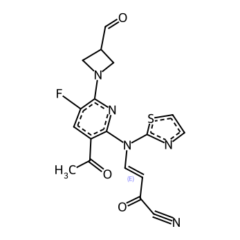 CC(=O)c1cc(F)c(N2CC(C=O)C2)nc1N(/C=C/C(=O)C#N)c1nccs1